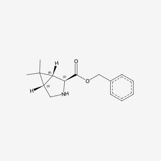 CC1(C)[C@@H]2[C@@H](C(=O)OCc3ccccc3)NC[C@@H]21